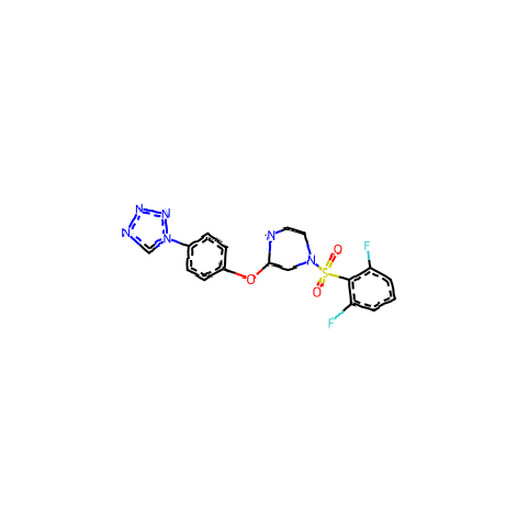 O=S(=O)(c1c(F)cccc1F)N1CC[N]C(Oc2ccc(-n3cnnn3)cc2)C1